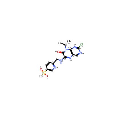 CCS(=O)(=O)c1ccc(CNc2nc3cnc(Cl)nc3n([C@@H](C#N)C(C)C)c2=O)nc1